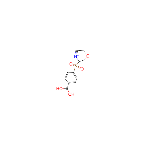 O=S(=O)(c1ccc(B(O)O)cc1)C1COCC#[N+]1